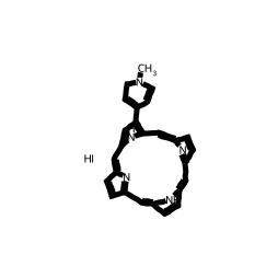 CN1C=CC(c2cc3cc4nc(cc5ccc(cc6nc(cc2[nH]3)C=C6)[nH]5)C=C4)=CC1.I